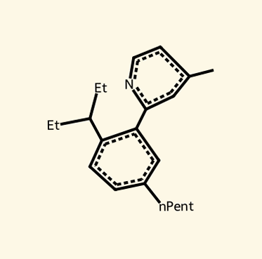 CCCCCc1ccc(C(CC)CC)c(-c2cc(C)ccn2)c1